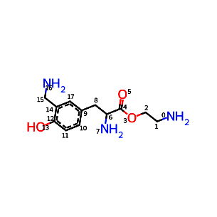 NCCOC(=O)C(N)Cc1ccc(O)c(CN)c1